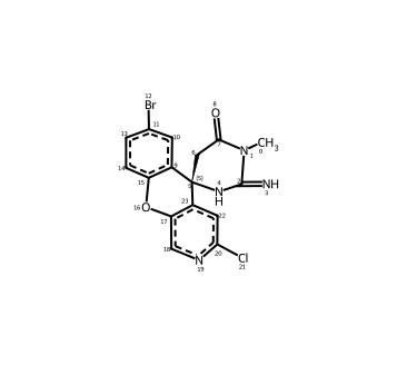 CN1C(=N)N[C@@]2(CC1=O)c1cc(Br)ccc1Oc1cnc(Cl)cc12